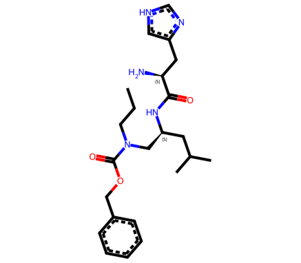 CCCN(C[C@H](CC(C)C)NC(=O)[C@@H](N)Cc1c[nH]cn1)C(=O)OCc1ccccc1